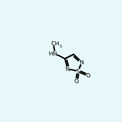 CNC1=NS(=O)(=O)N=C1